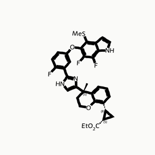 CCOC(=O)[C@H]1C[C@H]1c1cccc2c1OCC[C@]2(C)c1c[nH]c(-c2cc(Oc3c(F)c(F)c4[nH]ccc4c3SC)ccc2F)n1